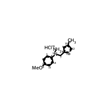 COc1ccc(N(N)Cc2cc(C)cs2)cc1.Cl